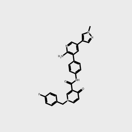 Cn1cc(-c2cnc(N)c(-c3ccc(NC(=O)c4cn(Cc5ccc(F)cc5)ccc4=O)cc3)c2)cn1